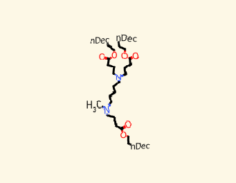 CCCCCCCCCCCCOC(=O)CCCN(C)CCCCCN(CCCC(=O)OCCCCCCCCCCCC)CCCC(=O)OCCCCCCCCCCCC